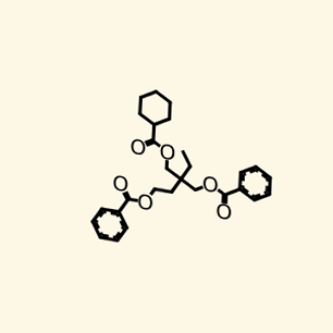 CCC(CCOC(=O)c1ccccc1)(COC(=O)c1ccccc1)COC(=O)C1CCCCC1